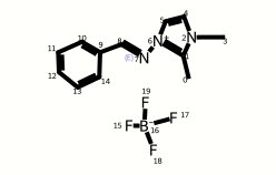 Cc1n(C)cc[n+]1/N=C/c1ccccc1.F[B-](F)(F)F